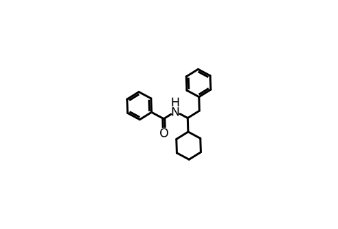 O=C(NC(Cc1ccccc1)C1CCCCC1)c1ccccc1